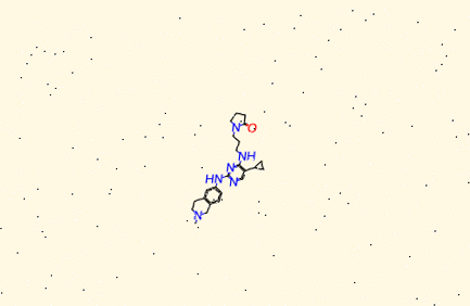 CN1CCc2cc(Nc3ncc(C4CC4)c(NCCCN4CCCC4=O)n3)ccc2C1